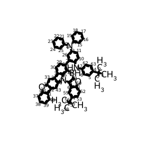 CC(C)(C)c1ccc(Nc2ccc(N(c3ccccc3)c3ccccc3)cc2-c2ccc3c4cc5oc6ccccc6c5cc4n4c3c2Bc2oc3ccc(C(C)(C)C)cc3c2-4)cc1